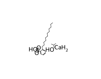 CC(C)CO.CCCCCCCCCCCCc1ccccc1S(=O)(=O)O.[CaH2]